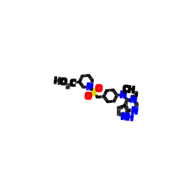 CN(c1ncnc2[nH]ccc12)C1CCC(CS(=O)(=O)N2CCCC(C(=O)O)C2)CC1